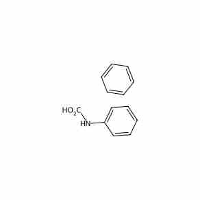 O=C(O)Nc1ccccc1.c1ccccc1